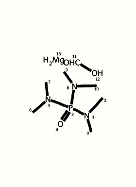 CN(C)P(=O)(N(C)C)N(C)C.O=CO.[MgH2]